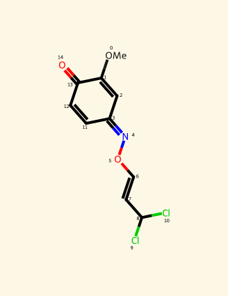 COC1=CC(=NOC=CC(Cl)Cl)C=CC1=O